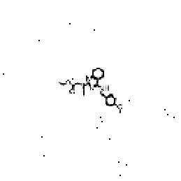 CCOC(=O)CNc1nc2c(c(NCc3ccc(OC)cc3)n1)CCCC2